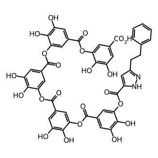 O=C(O)c1cc(O)c(O)c(OC(=O)c2cc(O)c(O)c(OC(=O)c3cc(O)c(O)c(OC(=O)c4cc(O)c(O)c(OC(=O)c5cc(O)c(O)c(OC(=O)c6cc(CCc7ccccc7)n[nH]6)c5)c4)c3)c2)c1